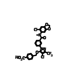 CN(C(=O)c1cccc(-n2nc(C(F)(F)F)c(Cl)c2OCc2ccc(C(=O)O)cc2)c1)c1cc2c(cc1Cl)OCO2